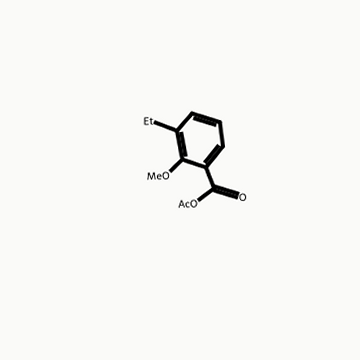 CCc1cccc(C(=O)OC(C)=O)c1OC